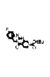 CC(C)(C)OC(=O)N1CCc2c(nc(N)n(Cc3ccc(F)cc3)c2=O)C1